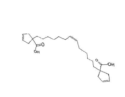 O=C(O)C1(CCCCC/C=C\CCCCCCC2(C(=O)O)CC=CC2)CC=CC1